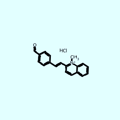 C[n+]1c(/C=C/c2ccc(C=O)cc2)ccc2ccccc21.Cl